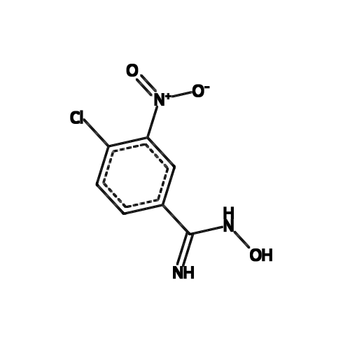 N=C(NO)c1ccc(Cl)c([N+](=O)[O-])c1